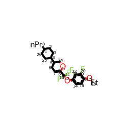 CCCC1CCC(C2CC=C(C(F)(F)Oc3ccc(OCC)c(F)c3F)OC2)CC1